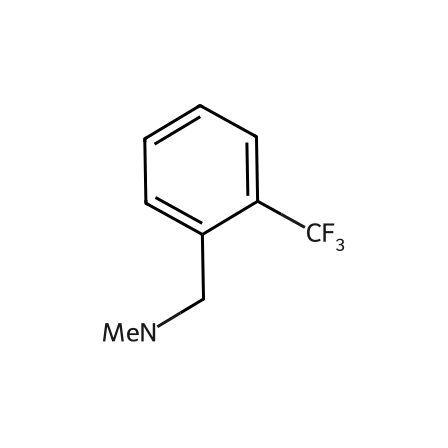 CNCc1ccccc1C(F)(F)F